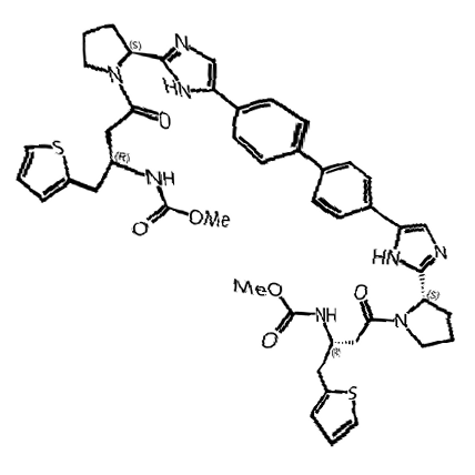 COC(=O)N[C@H](CC(=O)N1CCC[C@H]1c1ncc(-c2ccc(-c3ccc(-c4cnc([C@@H]5CCCN5C(=O)C[C@H](Cc5cccs5)NC(=O)OC)[nH]4)cc3)cc2)[nH]1)Cc1cccs1